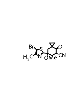 COC1(c2nc(C)c(Br)s2)CC(C#N)C(=O)C2(CC2)C1